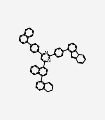 C1=CC2=Cc3c(-c4ccc(-c5nc(-c6ccc(-c7cccc8ccccc78)cc6)cc(-c6ccc(-c7cccc8c7C=CCC8)c7ccccc67)n5)cc4)cccc3C2C=C1